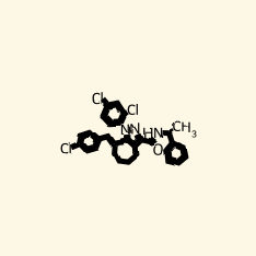 C[C@H](NC(=O)c1nn(-c2ccc(Cl)cc2Cl)c2c1CCCC/C2=C\c1ccc(Cl)cc1)c1ccccc1